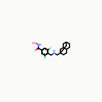 O=C(NO)c1cc(F)c(CNCC23CCC4CCC(CC4C2)C3)c(F)c1